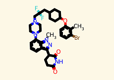 Cc1c(Br)cccc1OC1CCC(CC(F)(F)CN2CCN(c3cccc4c(C5CCC(=O)NC5=O)nn(C)c34)CC2)CC1